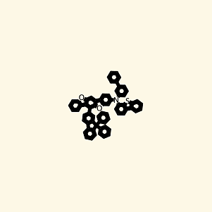 c1ccc(-c2cccc(N(c3ccc4c(c3)oc3c(-c5ccc6c(c5)C(c5ccccc5)(c5ccccc5)c5ccccc5-6)c5c(cc34)oc3ccccc35)c3cccc4c3sc3ccccc34)c2)cc1